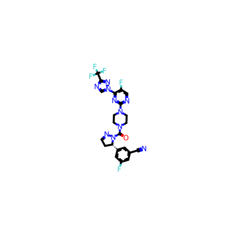 N#Cc1cc(F)cc([C@@H]2CC=NN2C(=O)N2CCN(c3ncc(F)c(-n4cnc(C(F)(F)F)n4)n3)CC2)c1